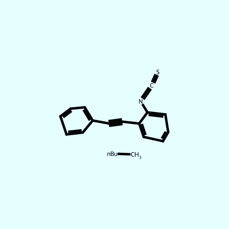 CCCCC.S=C=Nc1ccccc1C#Cc1ccccc1